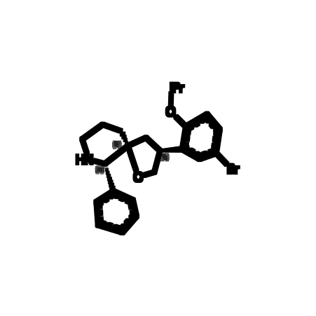 CC(C)Oc1ccc(Br)cc1[C@H]1CO[C@]2(CCCN[C@H]2c2ccccc2)C1